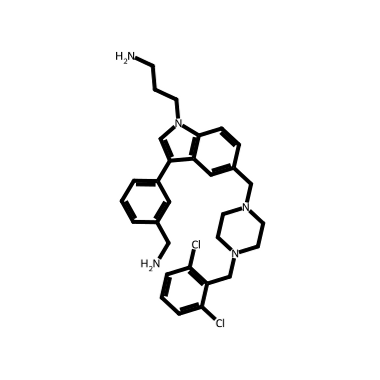 NCCCn1cc(-c2cccc(CN)c2)c2cc(CN3CCN(Cc4c(Cl)cccc4Cl)CC3)ccc21